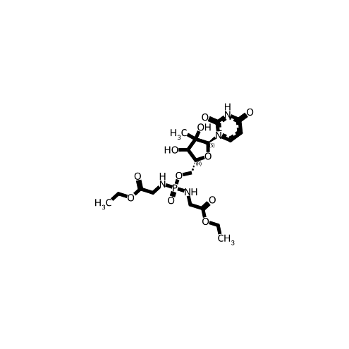 CCOC(=O)CNP(=O)(NCC(=O)OCC)OC[C@H]1O[C@H](n2ccc(=O)[nH]c2=O)C(C)(O)C1O